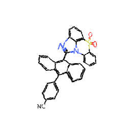 N#Cc1ccc(-c2c3ccccc3c(-c3nc4cccc5c4n3-c3ccccc3S5(=O)=O)c3ccccc23)cc1